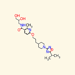 Cc1nc(OCCCC2CCN(c3noc(C(C)C)n3)CC2)ccc1C(=O)NCC(O)CO